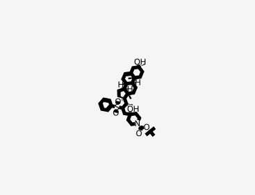 C[C@H](C(CC1(O)CCN(C(=O)OC(C)(C)C)CC1)S(=O)(=O)c1ccccc1)[C@H]1CC[C@H]2[C@@H]3CC=C4C[C@@](C)(O)CC[C@]4(C)[C@H]3CC[C@]12C